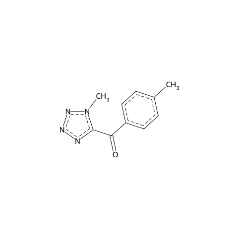 Cc1ccc(C(=O)c2nnnn2C)cc1